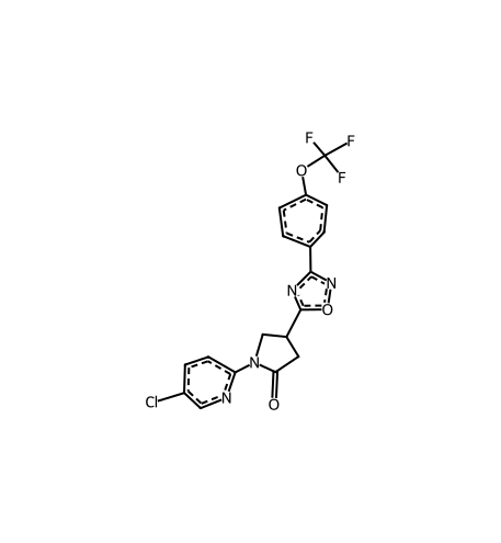 O=C1CC(c2nc(-c3ccc(OC(F)(F)F)cc3)no2)CN1c1ccc(Cl)cn1